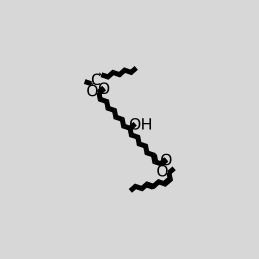 CCC/C=C/C/C=C\C(C)OC(=O)/C=C/CCCCCC(O)CCCCCCCC(=O)OC(C)=C=CCCCCCC